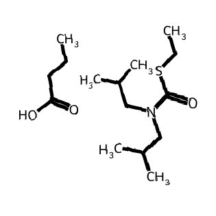 CCCC(=O)O.CCSC(=O)N(CC(C)C)CC(C)C